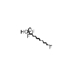 O=C(O)C(F)C(F)CCCCCCCCCCF